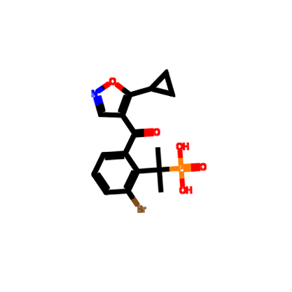 CC(C)(c1c(Br)cccc1C(=O)c1cnoc1C1CC1)P(=O)(O)O